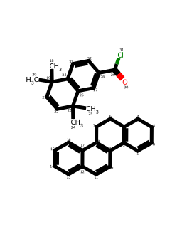 C1=CC2=C(CC1)CCc1c2ccc2ccccc12.CC1(C)C=CC(C)(C)c2cc(C(=O)Cl)ccc21